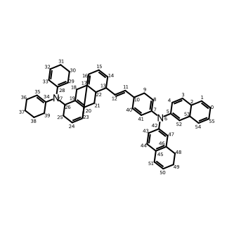 C1=CC2C=CC(N(C3=CCC(/C=C/C4C=CC5=C6CC7=C(CC64)C5=CCC7N(C4=CCCC=C4)C4=CCCCC4)C=C3)c3ccc4c(c3)CCC=C4)=CC2C=C1